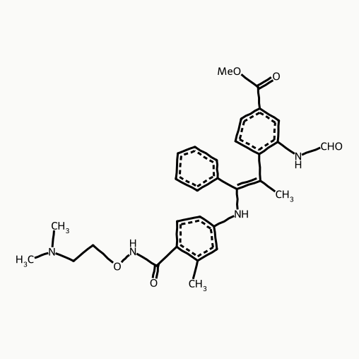 COC(=O)c1ccc(/C(C)=C(/Nc2ccc(C(=O)NOCCN(C)C)c(C)c2)c2ccccc2)c(NC=O)c1